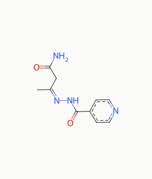 CC(CC(N)=O)=NNC(=O)c1ccncc1